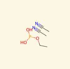 CC#N.CC#N.CCOP(O)O